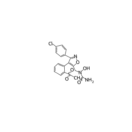 CS(=O)(=O)c1ccccc1-c1c(-c2ccc(Cl)cc2)noc1CN(O)C(N)=O